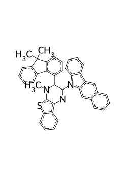 CN1c2sc3ccccc3c2N=C(n2c3ccccc3c3cc4ccccc4cc32)C1c1cccc2c1-c1ccccc1C2(C)C